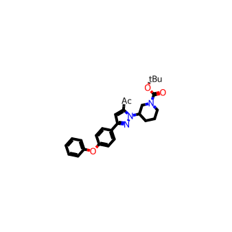 CC(=O)c1cc(-c2ccc(Oc3ccccc3)cc2)nn1C1CCCN(C(=O)OC(C)(C)C)C1